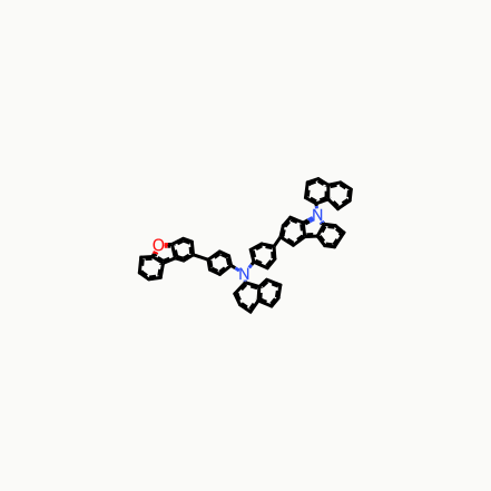 c1ccc2c(N(c3ccc(-c4ccc5oc6ccccc6c5c4)cc3)c3ccc(-c4ccc5c(c4)c4ccccc4n5-c4cccc5ccccc45)cc3)cccc2c1